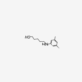 Cc1cc(C)cc(NCCCCCO)c1